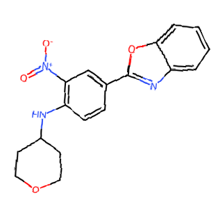 O=[N+]([O-])c1cc(-c2nc3ccccc3o2)ccc1NC1CCOCC1